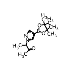 CC(=O)C(C)n1cc(B2OC(C)(C)C(C)(C)O2)cn1